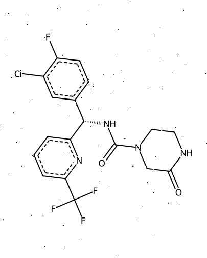 O=C1CN(C(=O)N[C@@H](c2ccc(F)c(Cl)c2)c2cccc(C(F)(F)F)n2)CCN1